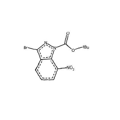 CC(C)(C)OC(=O)n1nc(Br)c2cccc([N+](=O)[O-])c21